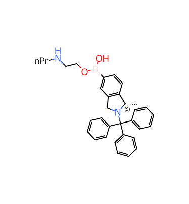 CCCNCCOB(O)c1ccc2c(c1)CN(C(c1ccccc1)(c1ccccc1)c1ccccc1)[C@H]2C